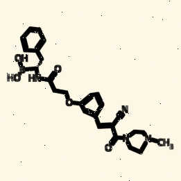 CN1CCN(C(=O)C(C#N)=Cc2cccc(OCCC(=O)N[C@@H](Cc3ccccc3)B(O)O)c2)CC1